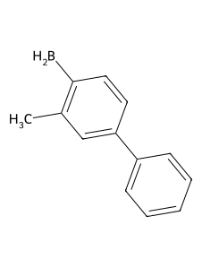 Bc1ccc(-c2ccccc2)cc1C